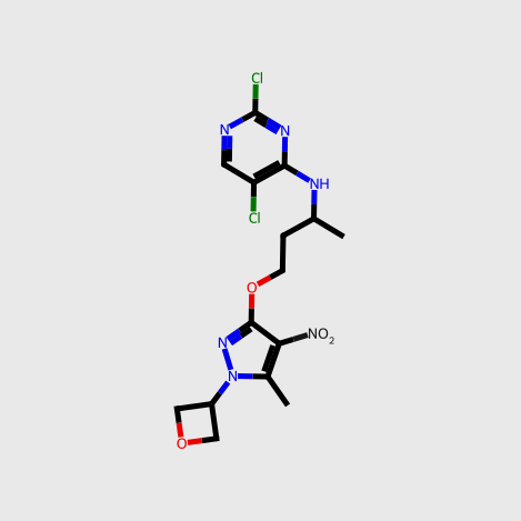 Cc1c([N+](=O)[O-])c(OCCC(C)Nc2nc(Cl)ncc2Cl)nn1C1COC1